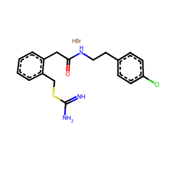 Br.N=C(N)SCc1ccccc1CC(=O)NCCc1ccc(Cl)cc1